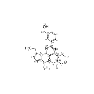 CCc1nnc(C(C)N2C[C@@H]3COCCN3c3nc(-c4cccc(CO)c4)ncc32)o1